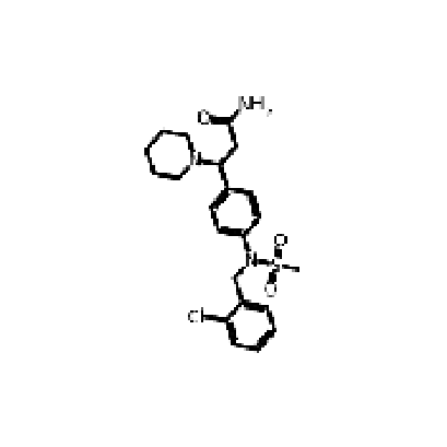 CS(=O)(=O)N(Cc1ccccc1Cl)c1ccc(C(CC(N)=O)N2CCCCC2)cc1